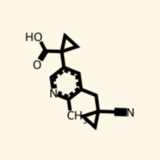 Cc1ncc(C2(C(=O)O)CC2)cc1CC1(C#N)CC1